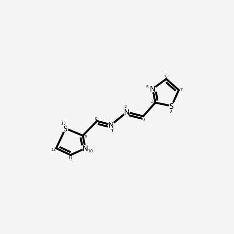 C(=NN=Cc1nccs1)c1nccs1